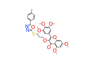 COc1cc(OC)c2c(=O)c(OCCCSc3nnc(-c4ccc(C)cc4)o3)c(-c3cc(OC)c(OC)c(OC)c3)oc2c1